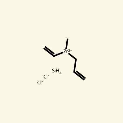 C=C[CH2][Zr+2]([CH3])[CH]=C.[Cl-].[Cl-].[SiH4]